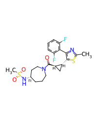 Cc1nc(-c2c(F)cccc2F)c([C@@H]2C[C@H]2C(=O)N2CCC[C@H](NS(C)(=O)=O)CC2)s1